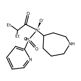 [CH2]CC(CC)C(=O)[N@+]([O-])(C1CCCNCC1)S(=O)(=O)c1ccccn1